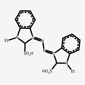 CCN1c2ccccc2S(=NN=S2c3ccccc3N(CC)C2S(=O)(=O)O)C1S(=O)(=O)O